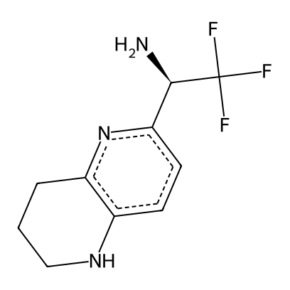 N[C@H](c1ccc2c(n1)CCCN2)C(F)(F)F